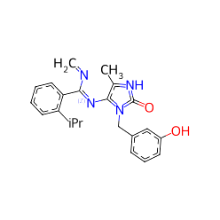 C=N/C(=N\c1c(C)[nH]c(=O)n1Cc1cccc(O)c1)c1ccccc1C(C)C